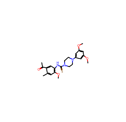 COc1cc(OC)cc(N2CCN(C(=S)Nc3cc(C(C)=O)c(C)cc3OC)CC2)c1